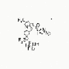 O=C(Nc1ccc(N2CCC2)nc1)c1cc2cc(C(F)(F)F)cnc2n1Cc1cccc(OC(F)(F)F)c1.O=C(O)C(F)(F)F